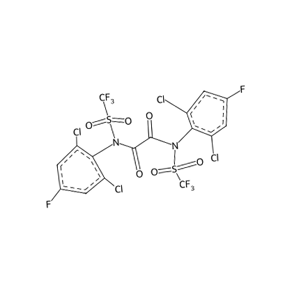 O=C(C(=O)N(c1c(Cl)cc(F)cc1Cl)S(=O)(=O)C(F)(F)F)N(c1c(Cl)cc(F)cc1Cl)S(=O)(=O)C(F)(F)F